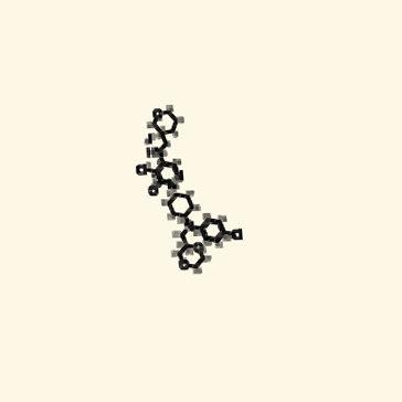 O=c1c(Cl)c(NC[C@]2(F)CCCOC2)cnn1[C@H]1CC[C@H](N(C[C@@H]2COCCO2)c2ccc(Cl)cc2)CC1